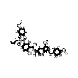 CCCS(=O)(=O)N(Oc1ccc(OC)cc1)c1ccc(Cl)c(C(=O)Nc2cnc3c(c2)c(OC)nn3Cc2ccc(OC)cc2)c1F